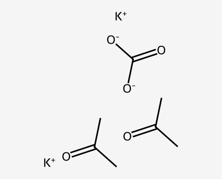 CC(C)=O.CC(C)=O.O=C([O-])[O-].[K+].[K+]